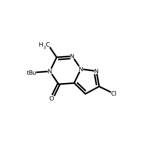 Cc1nn2nc(Cl)cc2c(=O)n1C(C)(C)C